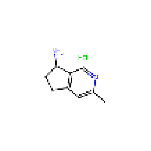 Cc1cc2c(cn1)C(N)CC2.Cl